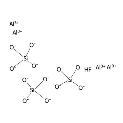 F.[Al+3].[Al+3].[Al+3].[Al+3].[O-][Si]([O-])([O-])[O-].[O-][Si]([O-])([O-])[O-].[O-][Si]([O-])([O-])[O-]